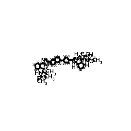 COC(=O)NN(C(=O)C1CCCCC1c1ncc(-c2ccc3cc(-c4ccc(-c5cnc([C@@H]6CCCCC6C(=O)N(NC(=O)OC)C(C)C)[nH]5)cc4)ccc3c2)[nH]1)C(C)C